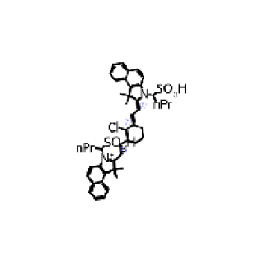 CCCC(N1/C(=C/C=C2\CCCC(/C=C/C3=[N+](C(CCC)S(=O)(=O)O)c4ccc5ccccc5c4C3(C)C)=C2Cl)C(C)(C)c2c1ccc1ccccc21)S(=O)(=O)O